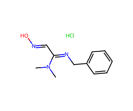 CN(C)C(C=NO)=NCc1ccccc1.Cl